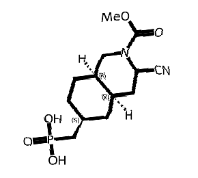 COC(=O)N1C[C@@H]2CC[C@H](CP(=O)(O)O)C[C@@H]2CC1C#N